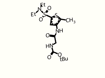 CCN(CC)S(=O)(=O)c1cc(NC(=O)CNC(=O)OC(C)(C)C)c(C)s1